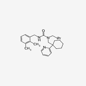 Cc1cccc(CNC(=O)N(CC(C)C)CC2(c3ccccn3)CCCCC2)c1C